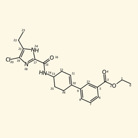 CCOC(=O)c1cccc(C2=CCC(NC(=O)c3nc(Cl)c(CC)[nH]3)CC2)c1